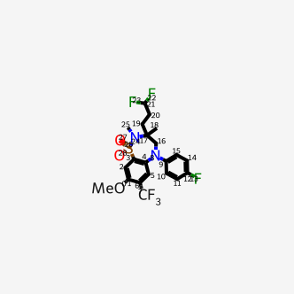 COc1cc2c(cc1C(F)(F)F)N(c1ccc(F)cc1)CC(C)(CCC(F)F)N(C)S2(=O)=O